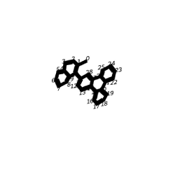 Cc1ccc2ccccc2c1-c1ccc2c3ccccc3c3ccccc3c2c1